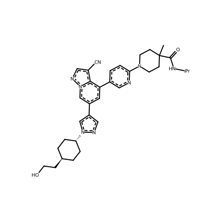 CC(C)NC(=O)C1(C)CCN(c2ccc(-c3cc(-c4cnn([C@H]5CC[C@H](CCO)CC5)c4)cn4ncc(C#N)c34)cn2)CC1